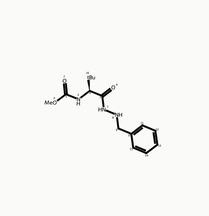 COC(=O)N[C@H](C(=O)NNCc1ccccc1)C(C)(C)C